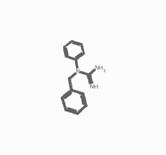 N=C(N)N(Cc1ccccc1)c1ccccc1